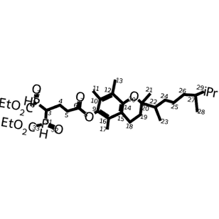 CCOC(=O)[PH](=O)C(CCC(=O)Oc1c(C)c(C)c2c(c1C)CCC(C)(C(C)CCCC(C)C(C)C)O2)[PH](=O)C(=O)OCC